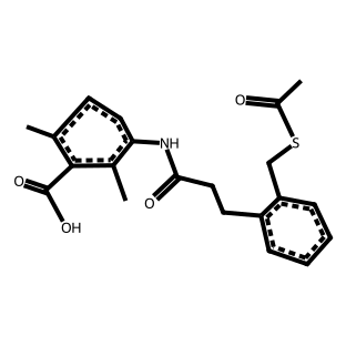 CC(=O)SCc1ccccc1CCC(=O)Nc1ccc(C)c(C(=O)O)c1C